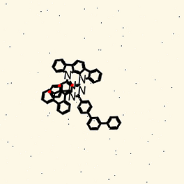 c1ccc(-c2cccc(-c3ccc(-c4nc(-c5ccccc5)nc(-n5c6ccccc6c6ccc7c8ccccc8n(-c8ccc9c%10ccccc%10c%10ccccc%10c9c8)c7c65)n4)cc3)c2)cc1